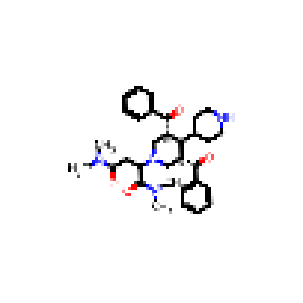 CN(C)C(=O)CC(C(=O)N(C)C)N1C[C@H](C(=O)c2ccccc2)C(C2CCNCC2)[C@H](C(=O)c2ccccc2)C1